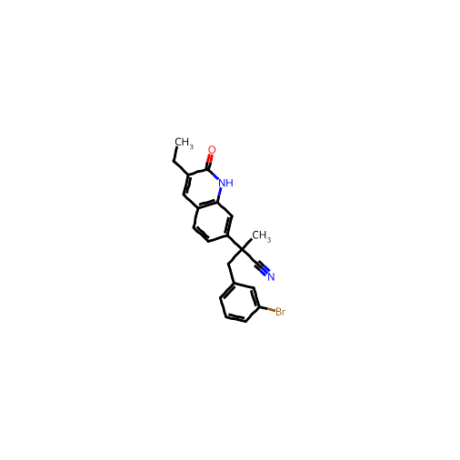 CCc1cc2ccc(C(C)(C#N)Cc3cccc(Br)c3)cc2[nH]c1=O